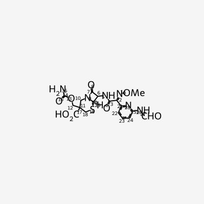 CON=C(C(=O)NC1C(=O)N2CC(COC(N)=O)(C(=O)O)CS[C@H]12)c1cccc(NC=O)n1